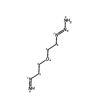 N=NCCOCCN=NN